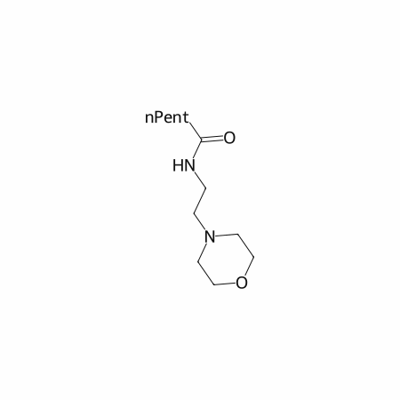 CCCCCC(=O)NCCN1CCOCC1